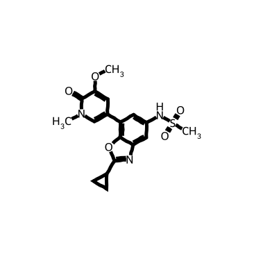 COc1cc(-c2cc(NS(C)(=O)=O)cc3nc(C4CC4)oc23)cn(C)c1=O